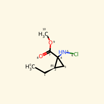 CC[C@@H]1CC1(NCl)C(=O)OC